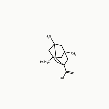 CC12CC3(C)CC(N)(C1)CC(C(=O)O)(C2)C3.Cl